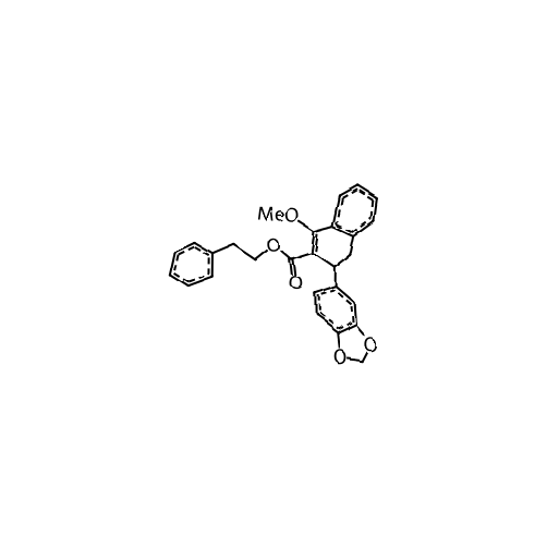 COC1=C(C(=O)OCCc2ccccc2)C(c2ccc3c(c2)OCO3)Cc2ccccc21